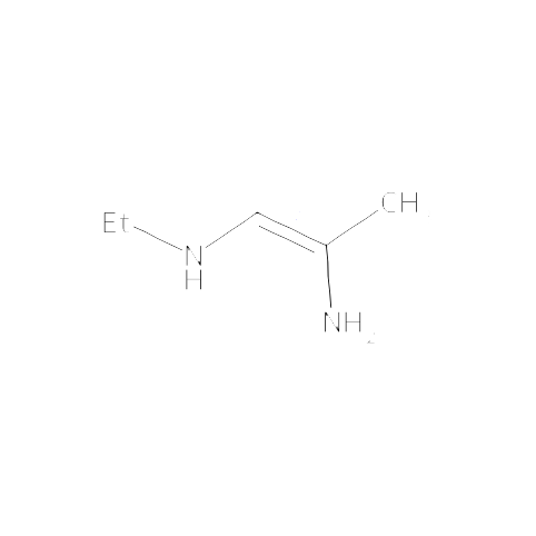 CCN/C=C(/C)N